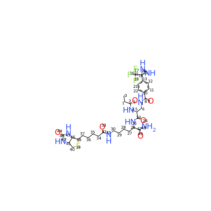 CCC(=O)NC(CNC(=O)c1ccc(C2(C(F)(F)F)NN2)cc1)C(=O)NC(CCCCNC(=O)CCCCC1SCC2NC(=O)NC21)C(N)=O